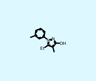 CCc1c(C)c(O)nn1-c1cccc(C)c1